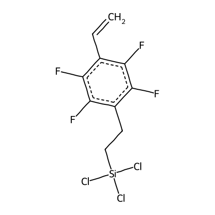 C=Cc1c(F)c(F)c(CC[Si](Cl)(Cl)Cl)c(F)c1F